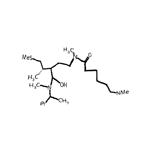 CNCCCCCC(=O)N(C)CCC(C(O)N(C)C(C)C(C)C)[C@H](C)CSC